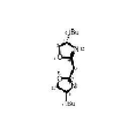 CC(C)(C)[C@H]1COC(CC2=N[C@@H](C(C)(C)C)CO2)=N1